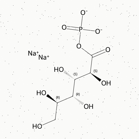 O=C(OP(=O)([O-])[O-])[C@@H](O)[C@@H](O)[C@H](O)[C@H](O)CO.[Na+].[Na+]